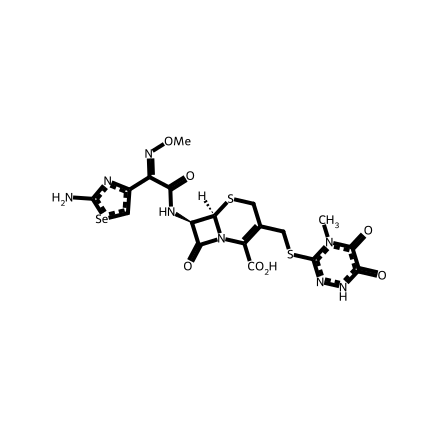 CO/N=C(\C(=O)N[C@@H]1C(=O)N2C(C(=O)O)=C(CSc3n[nH]c(=O)c(=O)n3C)CS[C@H]12)c1c[se]c(N)n1